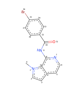 Cn1ccc2ccnc(NC(=O)c3ccc(Br)cc3)c21